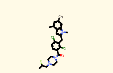 Cc1cc(C#N)cc2c1cc(Cc1c(Cl)ccc(C(=O)N3CCN(CC(C)F)CC3)c1Cl)n2C